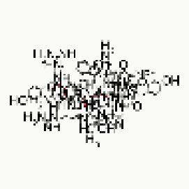 CN[C@@H](CCCNC(=N)N)C(=O)N[C@@H](Cc1c[nH]cn1)C(=O)N[C@@H](Cc1ccc(O)cc1)C(=O)N[C@@H](CC(C)C)C(=O)N[C@@H](CC(N)=O)C(=O)N[C@@H](Cc1c[nH]c2ccccc12)C(=O)N[C@H](C(=O)N[C@H](C(=O)N[C@@H](CCCNC(=N)N)C(=O)N[C@@H](CCC(N)=O)C(=O)N(C)[C@@H](CCCNC(=N)N)C(=O)N[C@@H](Cc1ccc(O)cc1)C(N)=O)[C@@H](C)O)C(C)C